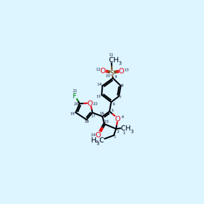 CCC1(C)OC(c2ccc(S(C)(=O)=O)cc2)=C(c2ccc(F)o2)C1=O